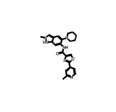 Cc1cc(-c2nc(C(=O)NC3=CC4NN(C)C=C4C=C3N3CCCCC3)co2)ccn1